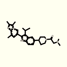 Cc1nc2c(C)cc(-c3[nH]c4ccc(C5CCN(C(=O)CN(C)C)CC5)cc4c3C(C)C)cn2c1C